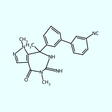 [C-]#[N+]c1cccc(-c2cccc(C3(C)NC(=N)N(C)C(=O)c4cnn(C)c43)c2)c1